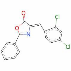 O=C1OC(c2ccccc2)=NC1=Cc1ccc(Cl)cc1Cl